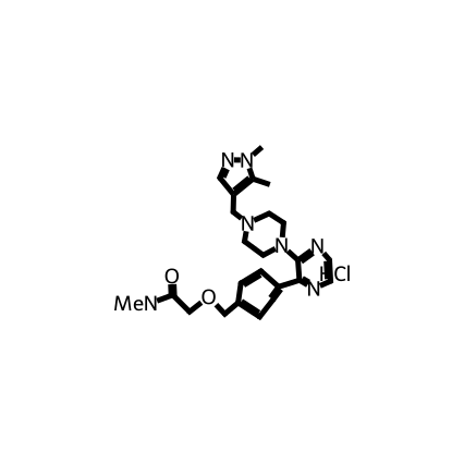 CNC(=O)COCc1ccc(-c2nccnc2N2CCN(Cc3cnn(C)c3C)CC2)cc1.Cl